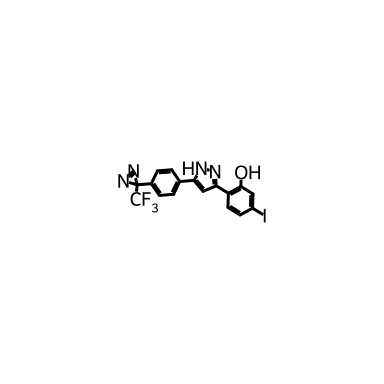 Oc1cc(I)ccc1-c1cc(-c2ccc(C3(C(F)(F)F)N=N3)cc2)[nH]n1